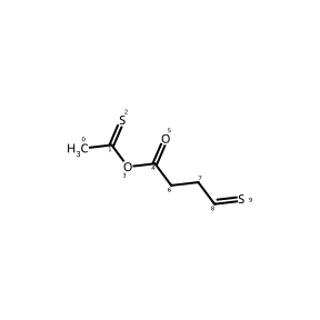 CC(=S)OC(=O)CCC=S